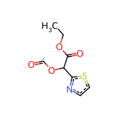 CCOC(=O)C(O[C]=O)c1nccs1